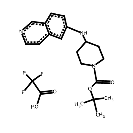 CC(C)(C)OC(=O)N1CCC(Nc2ccc3cnccc3c2)CC1.O=C(O)C(F)(F)F